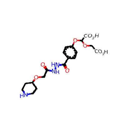 O=C(O)COC(Oc1ccc(C(=O)NNC(=O)COC2CCNCC2)cc1)C(=O)O